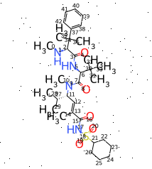 CN[C@H](C(=O)N[C@H](C(=O)N(C)[C@H](/C=C(\C)C(=O)NS(=O)(=O)C1CCCCC1)C(C)C)C(C)(C)C)C(C)(C)c1ccccc1